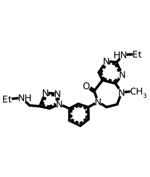 CCNCc1cn(-c2cccc(N3CCN(C)c4nc(NCC)ncc4C3=O)c2)nn1